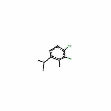 Cc1c(C(C)C)ccc(Br)c1F